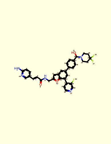 Nc1ccc(/C=C/C(=O)NCc2cc3cc(-c4ccc(C(O)N5CCC(F)(F)CC5)cc4)cc(-c4ccncc4F)c3o2)cn1